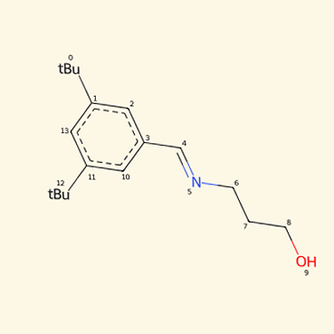 CC(C)(C)c1cc(C=NCCCO)cc(C(C)(C)C)c1